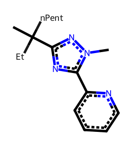 CCCCCC(C)(CC)c1nc(-c2ccccn2)n(C)n1